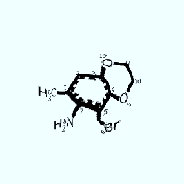 Cc1cc2c(c(Br)c1N)OCCO2